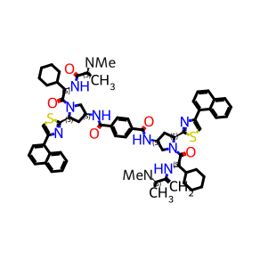 C=C(N[C@H](C(=O)N1C[C@@H](NC(=O)c2ccc(C(=O)N[C@H]3C[C@@H](c4nc(-c5cccc6ccccc56)cs4)N(C(=O)[C@@H](NC(=O)[C@H](C)NC)C4CCCCC4)C3)cc2)C[C@H]1c1nc(-c2cccc3ccccc23)cs1)C1CCCCC1)[C@H](C)NC